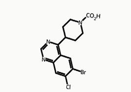 O=C(O)N1CCC(c2ncnc3cc(Cl)c(Br)cc23)CC1